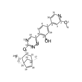 COc1cc(-c2ccc(-c3cnc(O[C@@H]4C[C@@]5(C)C=C[C@](C)(C5)[C@@H]4F)nn3)c(O)c2)ccn1